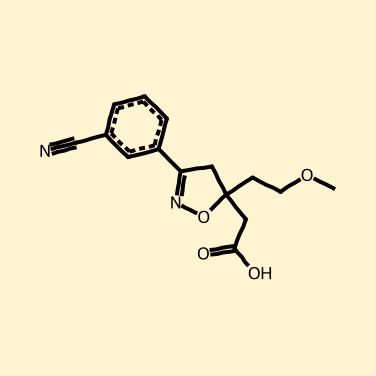 COCCC1(CC(=O)O)CC(c2cccc(C#N)c2)=NO1